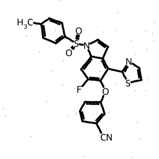 Cc1ccc(S(=O)(=O)n2ccc3c(-c4nccs4)c(Oc4cccc(C#N)c4)c(F)cc32)cc1